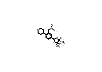 CCN(C)Cc1cc(B2OC(C)(C)C(C)(C)O2)ccc1C1CCOCC1